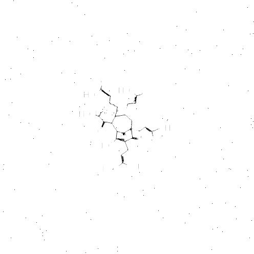 CC(C)=CCC[C@@]1(C)C(C(=O)C(C)C)C2C(=O)[C@](CC=C(C)C)(C[C@@H]1CC=C(C)C)C(=O)C(CC=C(C)C)=C2O